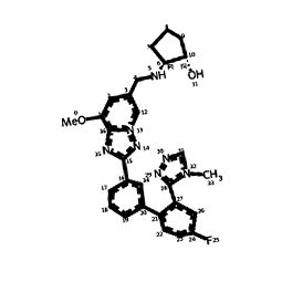 COc1cc(CN[C@@H]2CCC[C@@H]2O)cn2nc(-c3cccc(-c4ccc(F)cc4-c4nncn4C)c3)nc12